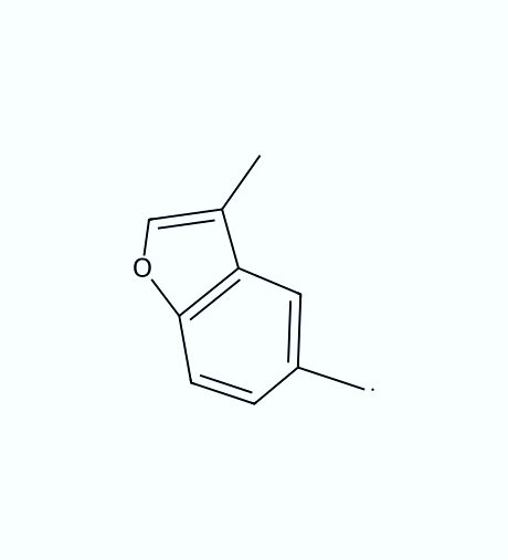 [CH2]c1ccc2occ(C)c2c1